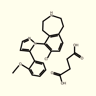 COc1ccccc1-c1ccnn1-c1c(Cl)ccc2c1CCNCC2.O=C(O)CCC(=O)O